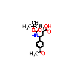 CC(=O)c1ccc(C(CCC(=O)O)NC(=O)OC(C)(C)C)cc1